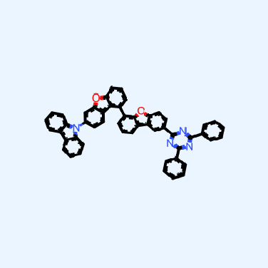 c1ccc(-c2nc(-c3ccccc3)nc(-c3ccc4oc5c(-c6cccc7oc8cc(-n9c%10ccccc%10c%10ccccc%109)ccc8c67)cccc5c4c3)n2)cc1